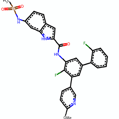 COc1ccc(-c2cc(-c3ccccc3F)cc(NC(=O)c3cc4ccc(NS(C)(=O)=O)cc4[nH]3)c2F)cn1